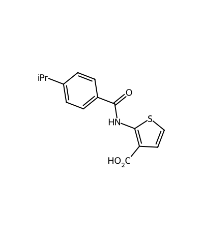 CC(C)c1ccc(C(=O)Nc2sccc2C(=O)O)cc1